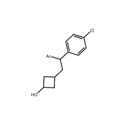 CC(=O)C(CC1CC(O)C1)c1ccc(Cl)cc1